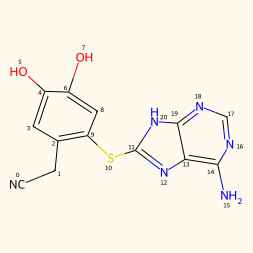 N#CCc1cc(O)c(O)cc1Sc1nc2c(N)ncnc2[nH]1